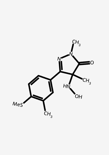 CSc1ccc(C2=NN(C)C(=O)C2(C)NO)cc1C